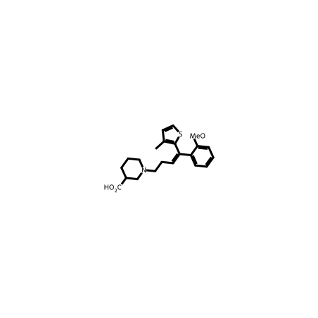 COc1ccccc1/C(=C/CCN1CCCC(C(=O)O)C1)c1sccc1C